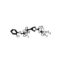 CC(C)(COc1ccccc1Cl)NC(=O)C1C2CN(C(=O)OC(C)(C)C)CC21